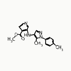 COC(=O)c1ccncc1Nc1cnn(-c2ccc(C)cc2)c1C